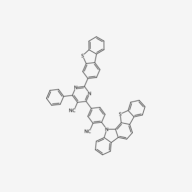 N#Cc1cc(-c2nc(-c3ccc4c(c3)sc3ccccc34)nc(-c3ccccc3)c2C#N)ccc1-n1c2ccccc2c2ccc3c4ccccc4sc3c21